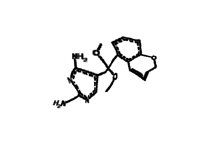 COC(OC)(c1cnc(N)nc1N)c1cccc2c1C=CCO2